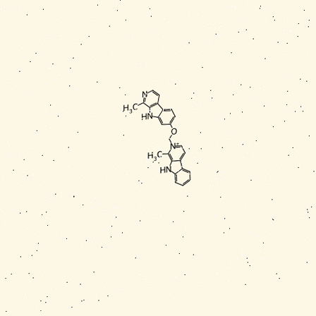 Cc1nccc2c1[nH]c1cc(OC[n+]3ccc4c([nH]c5ccccc54)c3C)ccc12